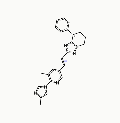 Cc1cn(-c2ncc(/C=C/c3nc4n(n3)CCC[C@@H]4c3ccccc3)cc2C)cn1